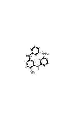 CC(=O)Nc1cccc(Nc2nc(Nc3ccccc3)ncc2C)c1